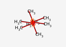 CCCCCCCCCCCCCCCCCCCC[PH](CCCCCCCCCCCCCCCCCCCC)(CCCCCCCCCCCCCCCCCCCC)[Ni]([O]C(C)=O)([O]C(C)=O)[PH](CCCCCCCCCCCCCCCCCCCC)(CCCCCCCCCCCCCCCCCCCC)CCCCCCCCCCCCCCCCCCCC